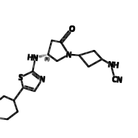 N#CNC1CC(N2C[C@H](Nc3ncc(C4CCCCC4)s3)CC2=O)C1